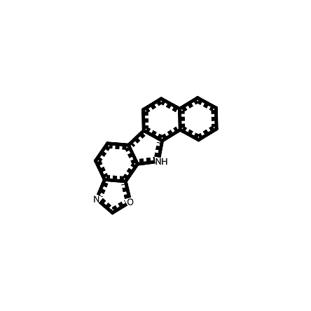 c1ccc2c(c1)ccc1c3ccc4ncoc4c3[nH]c21